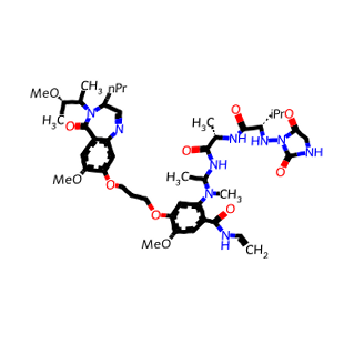 C=CNC(=O)c1cc(OC)c(OCCCOc2cc3c(cc2OC)C(=O)N(C(C)[C@H](C)OC)C(CCC)C=N3)cc1N(C)C(C)NC(=O)[C@H](C)NC(=O)[C@@H](NN1C(=O)CNC1=O)C(C)C